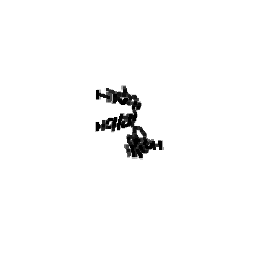 CNS(=O)(=O)c1cc(C(O)CNCCOc2ccc3c(C)c(C)[nH]c3c2)ccc1O.Cl